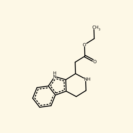 CCOC(=O)CC1NCCc2c1[nH]c1ccccc21